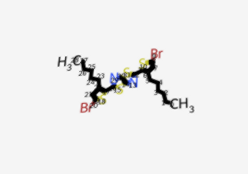 CCCCCCc1cc(Br)sc1-c1nc2sc(-c3sc(Br)cc3CCCCCC)nc2s1